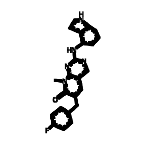 Cn1c(=O)c(Cc2ccc(F)cc2)cc2cnc(Nc3cccc4[nH]ccc34)nc21